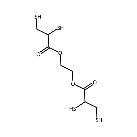 O=C(OCCOC(=O)C(S)CS)C(S)CS